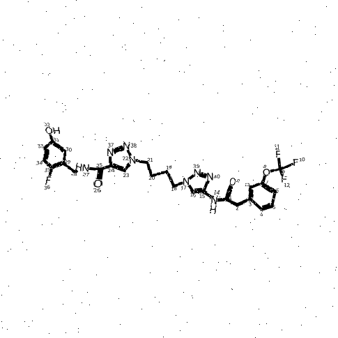 O=C(Cc1cccc(OC(F)(F)F)c1)Nc1cn(CCCCn2cc(C(=O)NCc3cc(O)ccc3F)nn2)nn1